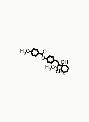 Cc1ccc(C(=O)Oc2ccc(CC(N(C)C)C3(O)CCCCC3)cc2)cc1